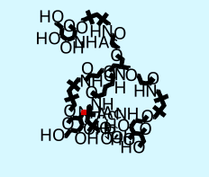 CC(=O)NC1C(OCC(C)(C)CC(C)(C)CNC(=O)CCOCC(COCCC(=O)NCC(C)(C)CC(C)(C)COC2OC(CO)C(O)C(O)C2NC(C)=O)(COCCC(=O)NCC(C)(C)CC(C)(C)COC2OC(CO)C(O)C(O)C2NC(C)=O)NC(=O)CCCC(=O)NCC(C)(C)CC(C)(C)COP(C)(=O)O)OC(CO)C(O)C1O